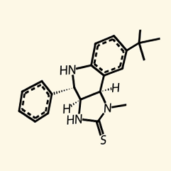 CN1C(=S)N[C@@H]2[C@H]1c1cc(C(C)(C)C)ccc1N[C@H]2c1ccccc1